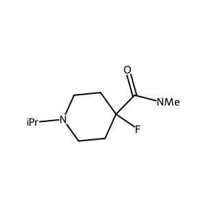 CNC(=O)C1(F)CCN(C(C)C)CC1